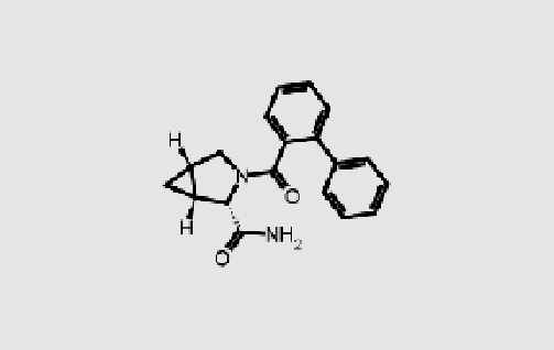 NC(=O)[C@@H]1[C@@H]2C[C@@H]2CN1C(=O)c1ccccc1-c1ccccc1